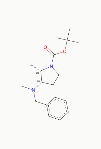 C[C@H]1[C@@H](N(C)Cc2ccccc2)CCN1C(=O)OC(C)(C)C